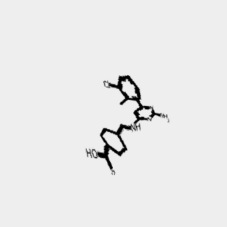 Cc1c(Cl)cccc1-c1cc(NCC2CCC(C(=O)O)CC2)nc(N)n1